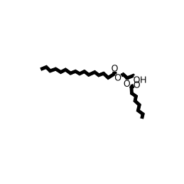 CCCCCCCCCCCCCCCC(=O)OCC(CO)OC(=O)CCCCCCC